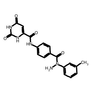 Cc1cccc(N(N)C(=O)c2ccc(NC(=O)c3cc(=O)[nH]c(=O)[nH]3)cc2)c1